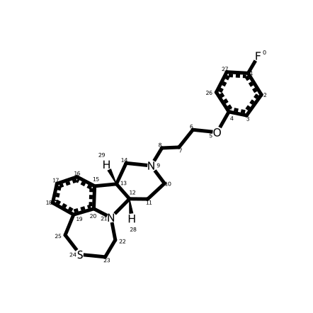 Fc1ccc(OCCCN2CC[C@H]3[C@@H](C2)c2cccc4c2N3CCSC4)cc1